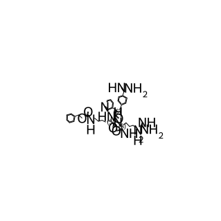 N=C(N)NCCC[C@H](NC(=O)[C@H](CCCCNC(=O)OCc1ccccc1)NC(=O)[C@@H](Cc1ccc(C(=N)N)cc1)c1cccnc1)C(N)=O